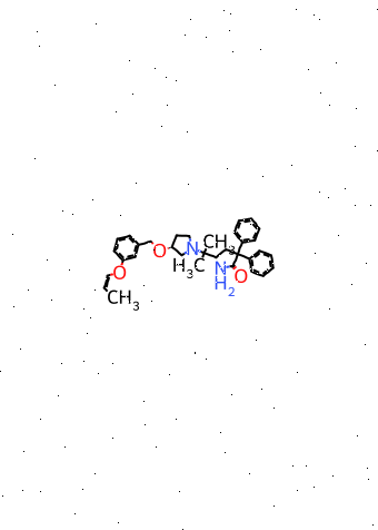 C/C=C\Oc1cccc(CO[C@@H]2CCN(C(C)(C)CCC(C(N)=O)(c3ccccc3)c3ccccc3)C2)c1